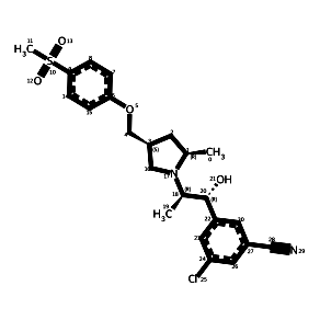 C[C@@H]1C[C@H](COc2ccc(S(C)(=O)=O)cc2)CN1[C@H](C)[C@H](O)c1cc(Cl)cc(C#N)c1